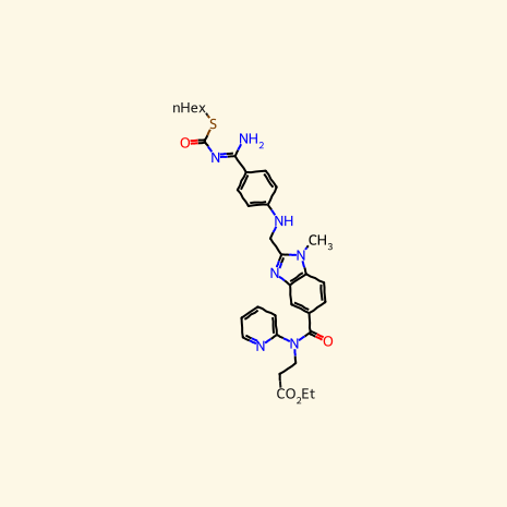 CCCCCCSC(=O)N=C(N)c1ccc(NCc2nc3cc(C(=O)N(CCC(=O)OCC)c4ccccn4)ccc3n2C)cc1